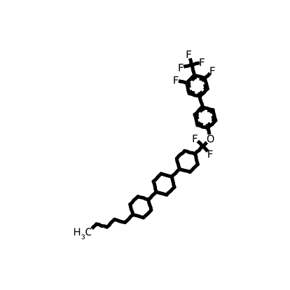 CCCCCC1CCC(C2CCC(C3CCC(C(F)(F)Oc4ccc(-c5cc(F)c(C(F)(F)F)c(F)c5)cc4)CC3)CC2)CC1